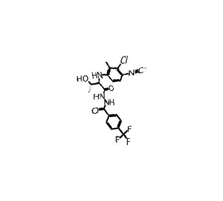 [C-]#[N+]c1ccc(N[C@@H](C(=O)NNC(=O)c2ccc(C(F)(F)F)cc2)[C@H](C)O)c(C)c1Cl